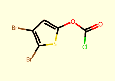 O=C(Cl)Oc1cc(Br)c(Br)s1